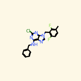 Cc1ccc(F)c(Cn2cnc3c(NCc4ccccc4)nc(Cl)nc32)c1F